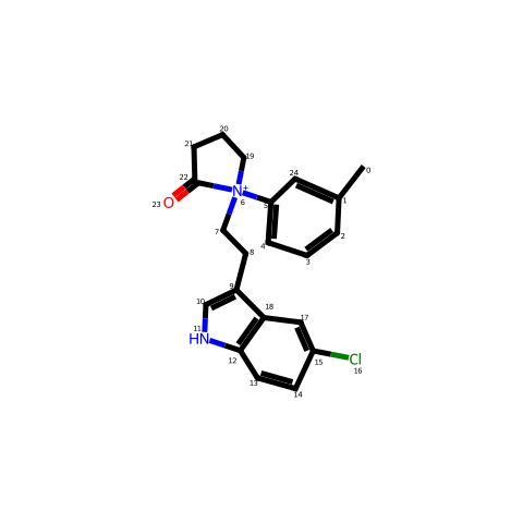 Cc1cccc([N+]2(CCc3c[nH]c4ccc(Cl)cc34)CCCC2=O)c1